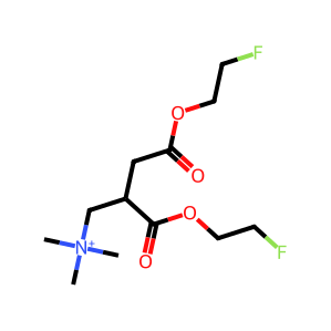 C[N+](C)(C)CC(CC(=O)OCCF)C(=O)OCCF